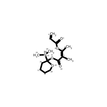 C=CC(=O)OC(C)=C(C)C(=O)OC1([SiH](C)C)CCCCO1